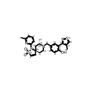 Cc1cccc(N2[C@]3(C=CS2(=O)=O)CCN(Cc2ccc(O)c(-c4nscc4C)c2)[C@@H](C)C3)n1